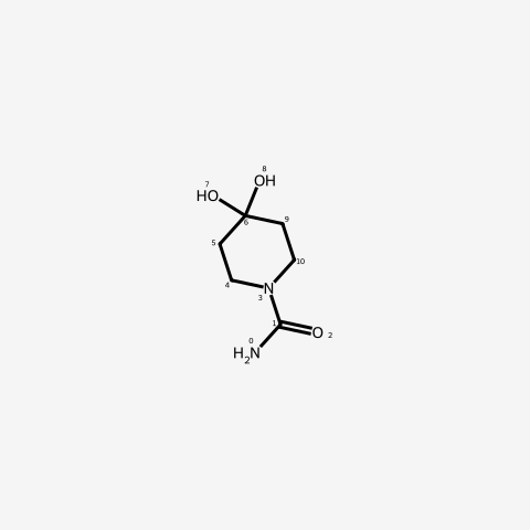 NC(=O)N1CCC(O)(O)CC1